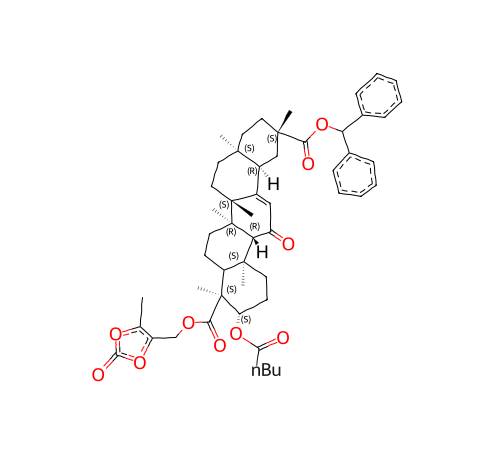 CCCCC(=O)O[C@H]1CC[C@@]2(C)C(CC[C@]3(C)[C@@H]2C(=O)C=C2[C@@H]4C[C@@](C)(C(=O)OC(c5ccccc5)c5ccccc5)CC[C@]4(C)CC[C@]23C)[C@]1(C)C(=O)OCc1oc(=O)oc1C